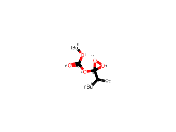 CCCCC(CC)C1(OC(=O)OC(C)(C)C)OO1